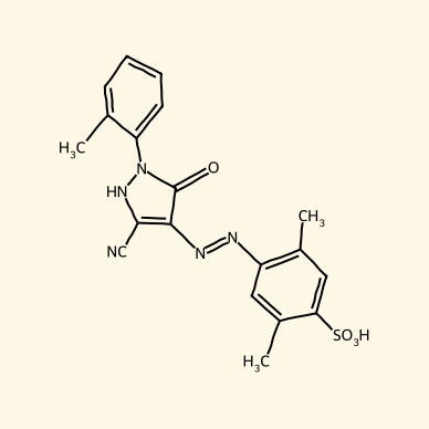 Cc1cc(S(=O)(=O)O)c(C)cc1/N=N/c1c(C#N)[nH]n(-c2ccccc2C)c1=O